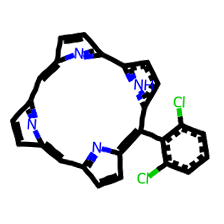 Clc1cccc(Cl)c1C1=C2C=CC(=N2)C=C2C=CC(=N2)C=C2C=CC(=N2)c2ccc1[nH]2